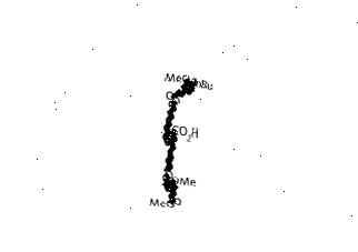 CCCCOc1ccc(C=CC(=O)OOCCCCCCc2ccc(CCCCCCOOc3ccc(C=CC(=O)OC)cc3OC)cc2C(=O)O)cc1OC